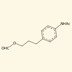 CC(=O)Nc1ccc(CCCOC=O)cc1